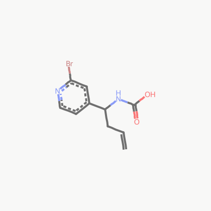 C=CCC(NC(=O)O)c1ccnc(Br)c1